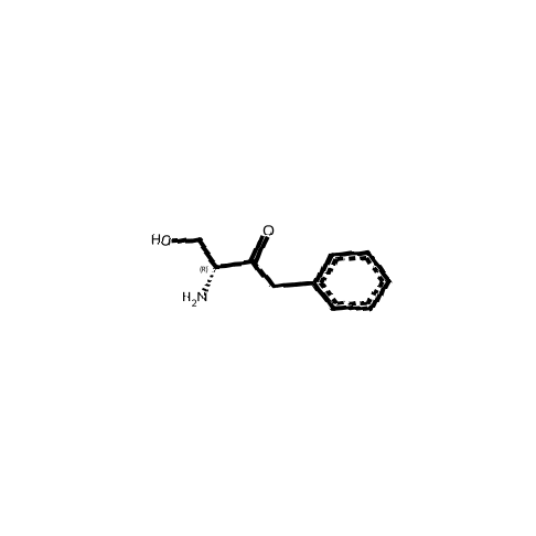 N[C@H](CO)C(=O)[CH]c1ccccc1